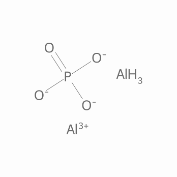 O=P([O-])([O-])[O-].[Al+3].[AlH3]